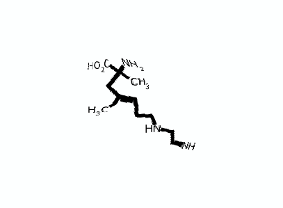 CC(=CCCNCC=N)CC(C)(N)C(=O)O